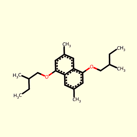 CCC(C)COc1cc(C)cc2c(OCC(C)CC)cc(C)cc12